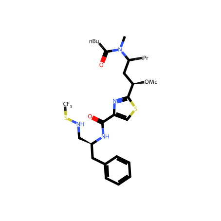 CCCCC(=O)N(C)C(C[C@@H](OC)c1nc(C(=O)N[C@H](CNSC(F)(F)F)Cc2ccccc2)cs1)C(C)C